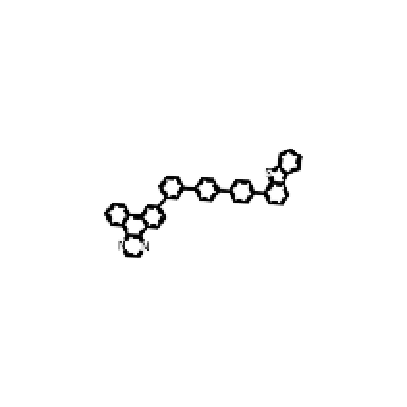 c1cc(-c2ccc(-c3ccc(-c4cccc5c4sc4ccccc45)cc3)cc2)cc(-c2ccc3c(c2)c2ccccc2c2nccnc32)c1